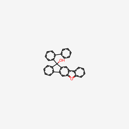 OC1(c2ccccc2-c2ccccc2)c2ccccc2-c2cc3oc4ccccc4c3cc21